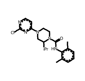 Cc1cccc(C)c1NC(=O)N1CCN(c2ccnc(Cl)n2)CC1C(C)C